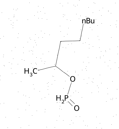 CCCCCCC(C)O[PH2]=O